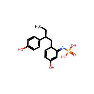 CCC(CC1C=CC(O)=C/C1=N\P(=O)(O)O)c1ccc(O)cc1